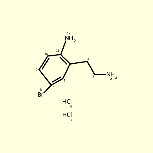 Cl.Cl.NCCc1cc(Br)ccc1N